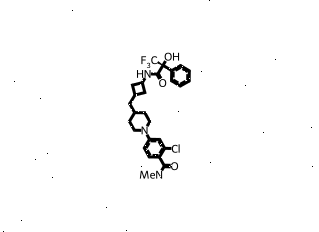 CNC(=O)c1ccc(N2CCC(CC3CC(NC(=O)[C@](O)(c4ccccc4)C(F)(F)F)C3)CC2)cc1Cl